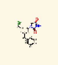 O=C1CN(CCC(CCCBr)Cc2ccccc2)C(=O)N1